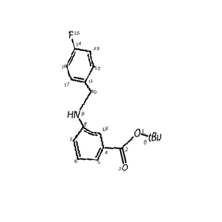 CC(C)(C)OC(=O)c1cccc(NCc2ccc(F)cc2)c1